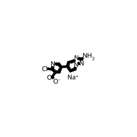 Nc1nc2cc(-c3cnc(Cl)c(C(=O)[O-])c3)ccn2n1.[Na+]